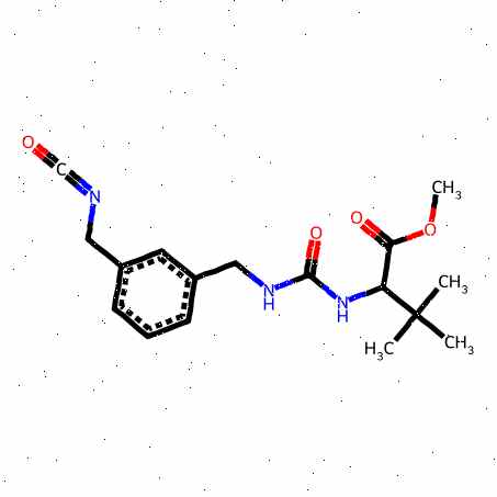 COC(=O)C(NC(=O)NCc1cccc(CN=C=O)c1)C(C)(C)C